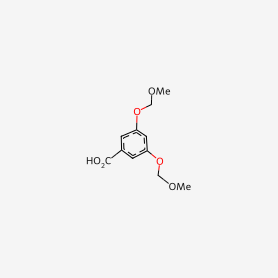 COCOc1cc(OCOC)cc(C(=O)O)c1